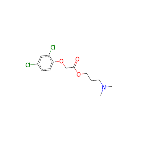 CN(C)CCCOC(=O)COc1ccc(Cl)cc1Cl